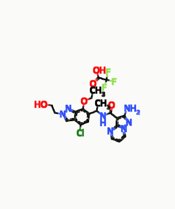 CCOc1c(C(C)NC(=O)c2c(N)nn3cccnc23)cc(Cl)c2cn(CCO)nc12.O=C(O)C(F)(F)F